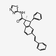 C[C@@]1(C(=O)Nc2nncs2)Cc2ccc(/C=C/c3ccccc3)cc2[C@@H]1c1ccccc1